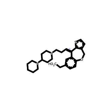 O=C(O)Cc1ccc2c(c1)/C(=C\CCN1CCC(N3CCCCC3)CC1)c1sccc1CO2